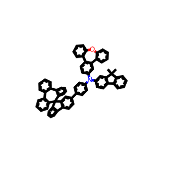 CC1(C)c2ccccc2-c2ccc(N(c3ccc(-c4ccc5c(c4)C4(c6ccccc6-c6ccccc6-c6ccccc64)c4ccccc4-5)cc3)c3ccc4c(c3)-c3ccccc3Oc3ccccc3-4)cc21